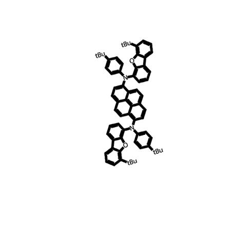 CC(C)(C)c1ccc(N(c2ccc3ccc4c(N(c5ccc(C(C)(C)C)cc5)c5cccc6c5oc5c(C(C)(C)C)cccc56)ccc5ccc2c3c54)c2cccc3c2oc2c(C(C)(C)C)cccc23)cc1